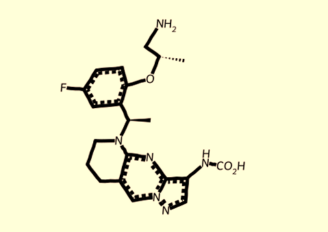 C[C@H](c1cc(F)ccc1O[C@@H](C)CN)N1CCCc2cn3ncc(NC(=O)O)c3nc21